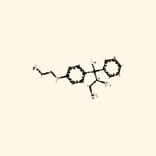 CC(C)CCSc1ccc(C(O)(c2ccccc2)C(C)CN)cc1